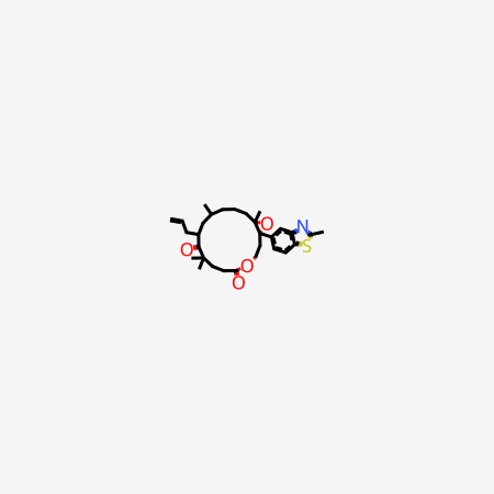 C=CCC1CC(C)CCCC2(C)OC2(c2ccc3sc(C)nc3c2)CCOC(=O)CCC(C)(C)C1=O